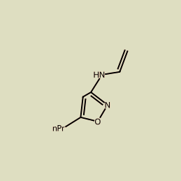 C=CNc1cc(CCC)on1